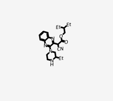 CCC(CC)COC(=O)C(C#N)c1nc2ccccc2nc1N1CCNC(CC)C1